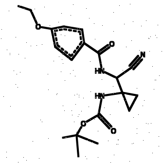 CCOc1ccc(C(=O)NC(C#N)C2(NC(=O)OC(C)(C)C)CC2)cc1